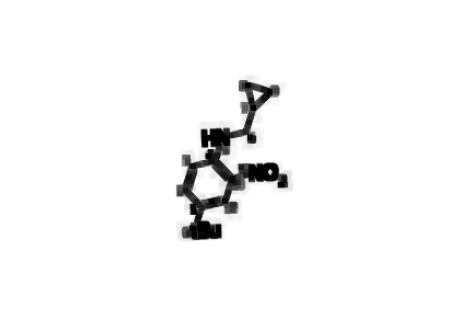 CC(C)(C)c1ccc(NCC2CC2)c([N+](=O)[O-])c1